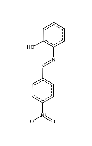 O=[N+]([O-])c1ccc(N=Nc2ccccc2O)cc1